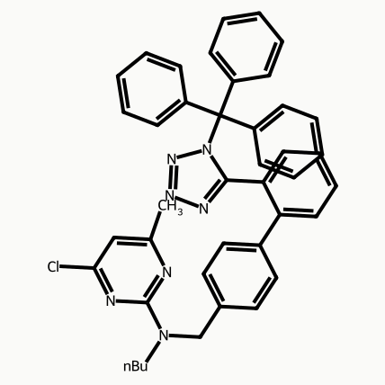 CCCCN(Cc1ccc(-c2ccccc2-c2nnnn2C(c2ccccc2)(c2ccccc2)c2ccccc2)cc1)c1nc(C)cc(Cl)n1